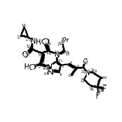 C/C(=C\c1cnn2c(O)c(C(=O)NC3CC3)c(=O)n(CC(C)C)c12)C(=O)N1CCC(F)(F)CC1